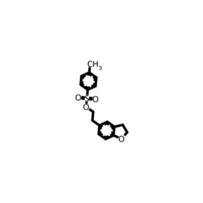 Cc1ccc(S(=O)(=O)OCCc2ccc3c(c2)CCO3)cc1